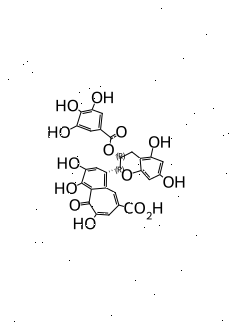 O=C(O)c1cc(O)c(=O)c2c(O)c(O)cc([C@H]3Oc4cc(O)cc(O)c4C[C@H]3OC(=O)c3cc(O)c(O)c(O)c3)c2c1